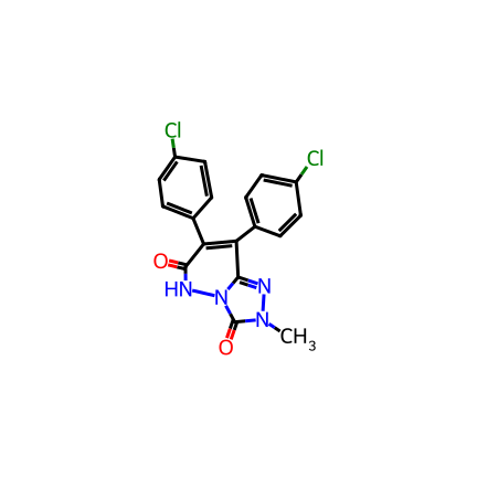 Cn1nc2c(-c3ccc(Cl)cc3)c(-c3ccc(Cl)cc3)c(=O)[nH]n2c1=O